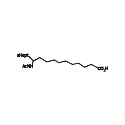 CCCCCCCC(CCCCCCCCCC(=O)O)NC(C)=O